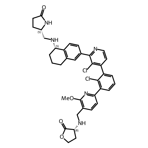 COc1nc(-c2cccc(-c3ccnc(-c4ccc5c(c4)CCC[C@@H]5NC[C@@H]4CCC(=O)N4)c3Cl)c2Cl)ccc1CN[C@@H]1CCOC1=O